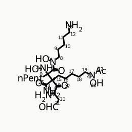 CCCCCC(NO)(C(=O)N(O)CCCCCN)C(CCCCCN(O)C(C)=O)(C(N)=O)C(=O)C(N)CC=O